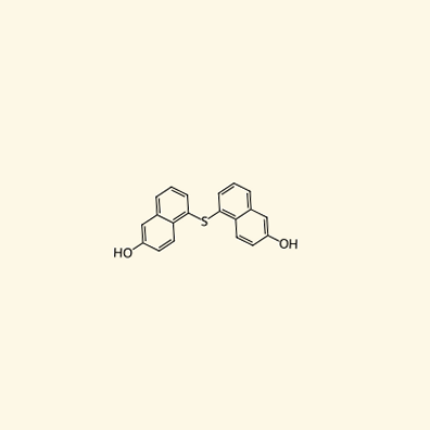 Oc1ccc2c(Sc3cccc4cc(O)ccc34)cccc2c1